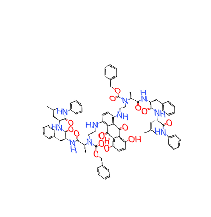 CC(C)C[C@H](NC(=O)[C@H](Cc1ccccc1)NC(=O)[C@H](C)N(CCNc1ccc(NCCN(C(=O)OCc2ccccc2)[C@@H](C)C(=O)N[C@@H](Cc2ccccc2)C(=O)N[C@@H](CC(C)C)C(=O)Nc2ccccc2)c2c1C(=O)c1c(O)ccc(O)c1C2=O)C(=O)OCc1ccccc1)C(=O)Nc1ccccc1